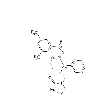 C[C@@H](O[C@H]1OCC[C@@H](CN2CCNC2=O)[C@@H]1c1ccccc1)c1cc(C(F)(F)F)cc(C(F)(F)F)c1